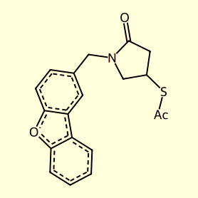 CC(=O)SC1CC(=O)N(Cc2ccc3oc4ccccc4c3c2)C1